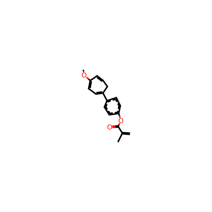 C=C(C)C(=O)Oc1ccc(C2=CC=C(OC)C=CC2)cc1